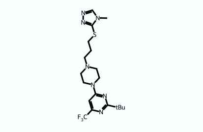 Cn1cnnc1SCCCN1CCN(c2cc(C(F)(F)F)nc(C(C)(C)C)n2)CC1